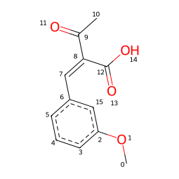 COc1cccc(/C=C(/C(C)=O)C(=O)O)c1